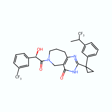 CC(c1cccc(C2(c3nc4c(c(=O)[nH]3)CN(C(=O)[C@H](O)c3cccc(C(F)(F)F)c3)CCC4)CC2)c1)C(F)(F)F